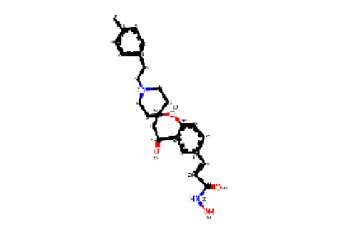 Cc1ccc(CCN2CCC3(CC2)CC(=O)c2cc(C=CC(=O)NO)ccc2O3)cc1